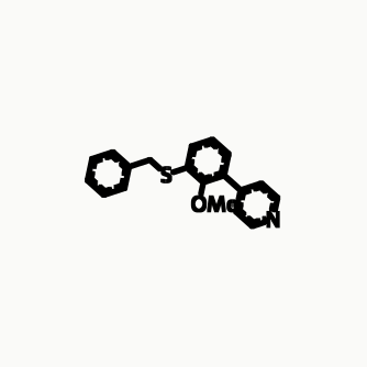 COc1c(SCc2ccccc2)cccc1-c1ccncc1